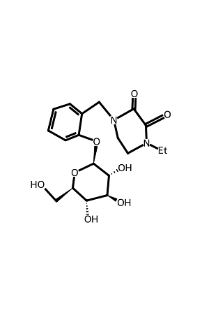 CCN1CCN(Cc2ccccc2O[C@@H]2O[C@H](CO)[C@@H](O)[C@H](O)[C@H]2O)C(=O)C1=O